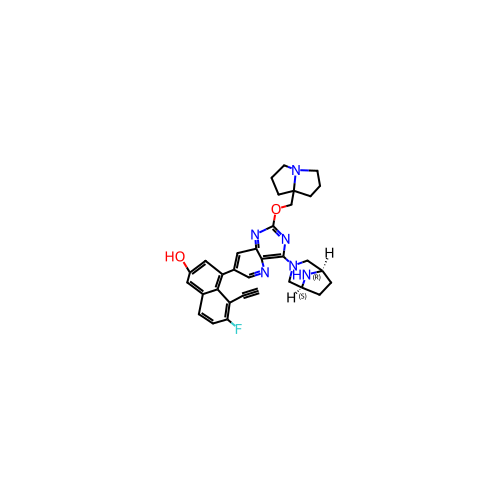 C#Cc1c(F)ccc2cc(O)cc(-c3cnc4c(N5C[C@H]6CC[C@@H](C5)N6)nc(OCC56CCCN5CCC6)nc4c3)c12